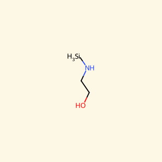 OCCN[SiH3]